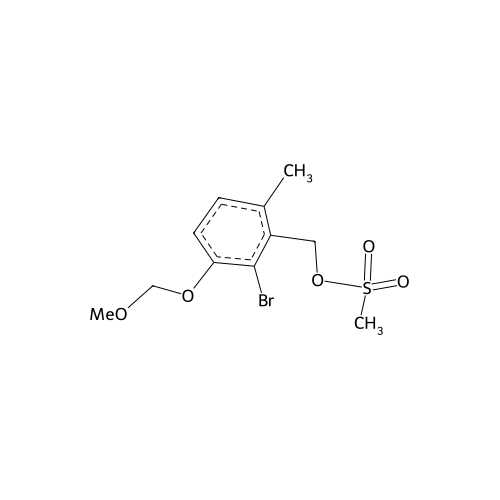 COCOc1ccc(C)c(COS(C)(=O)=O)c1Br